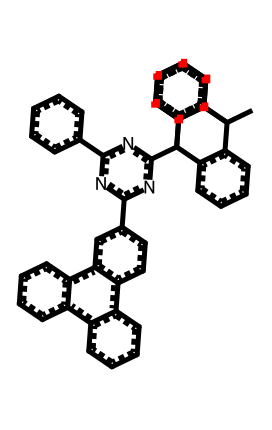 CC12c3ccccc3C(c3nc(-c4ccccc4)nc(-c4ccc5c6ccccc6c6ccccc6c5c4)n3)(c3ccccc31)c1ccccc12